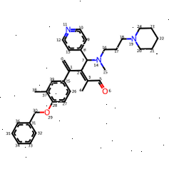 C=C(/C(=C(\C)C=O)C(c1ccncc1)N(C)CCCN1CCCCC1)c1ccc(OCc2ccccc2)c(C)c1